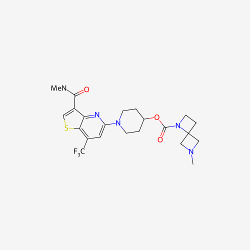 CNC(=O)c1csc2c(C(F)(F)F)cc(N3CCC(OC(=O)N4CCC45CN(C)C5)CC3)nc12